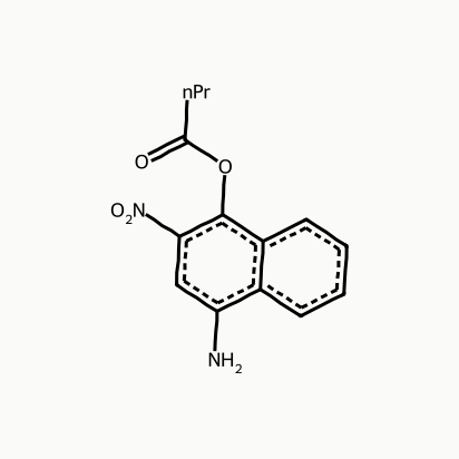 CCCC(=O)Oc1c([N+](=O)[O-])cc(N)c2ccccc12